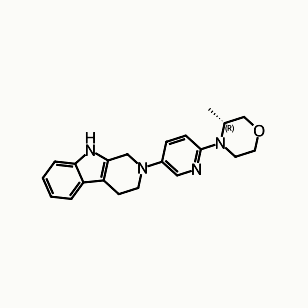 C[C@@H]1COCCN1c1ccc(N2CCc3c([nH]c4ccccc34)C2)cn1